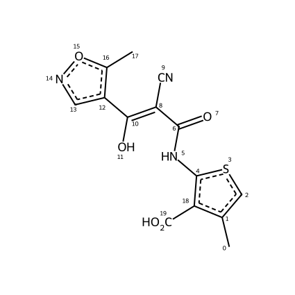 Cc1csc(NC(=O)C(C#N)=C(O)c2cnoc2C)c1C(=O)O